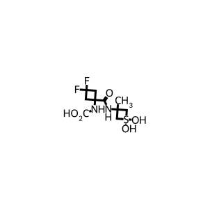 CC1(NC(=O)C2(NC(=O)O)CC(F)(F)C2)CS(O)(O)C1